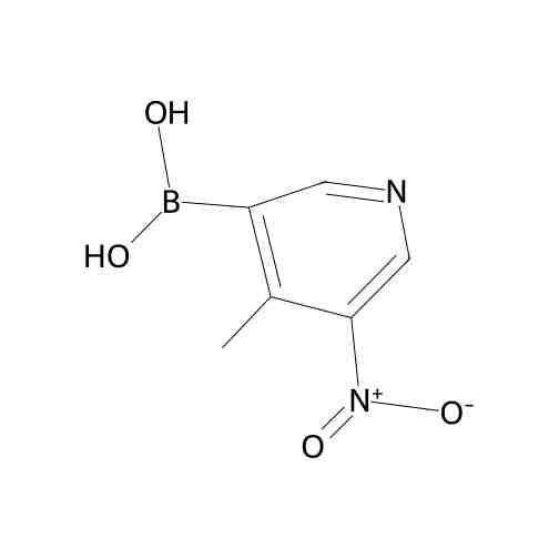 Cc1c(B(O)O)cncc1[N+](=O)[O-]